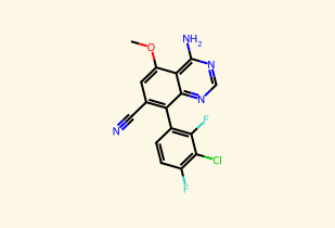 COc1cc(C#N)c(-c2ccc(F)c(Cl)c2F)c2ncnc(N)c12